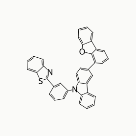 c1cc(-c2nc3ccccc3s2)cc(-n2c3ccccc3c3cc(-c4cccc5c4oc4ccccc45)ccc32)c1